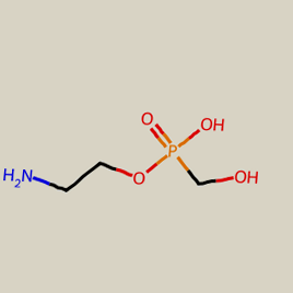 NCCOP(=O)(O)CO